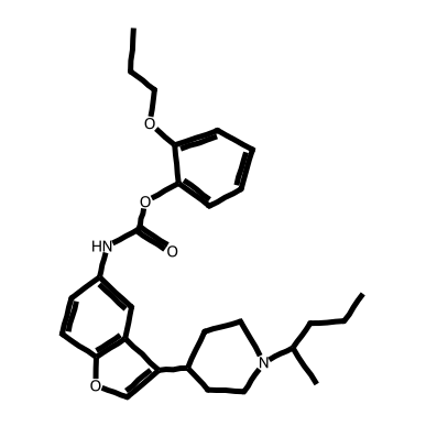 CCCOc1ccccc1OC(=O)Nc1ccc2occ(C3CCN(C(C)CCC)CC3)c2c1